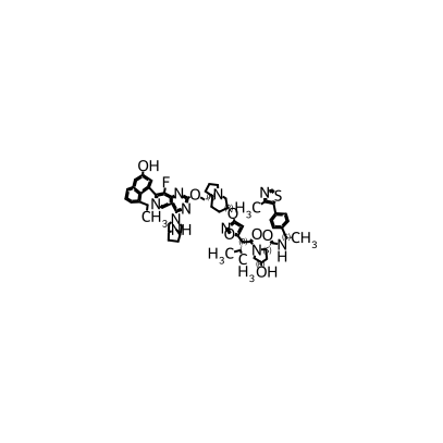 CCc1cccc2cc(O)cc(-c3ncc4c(N5CC6CCC(C5)N6)nc(OC[C@]56CCCN5C[C@H](Oc5cc([C@H](C(=O)N7C[C@H](O)C[C@H]7C(=O)N[C@@H](C)c7ccc(-c8scnc8C)cc7)C(C)C)on5)CC6)nc4c3F)c12